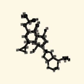 NC1C=CCC2CN(c3cc(F)c4c(=O)c(OC(=O)O)cn(C5CC5)c4c3F)CC12